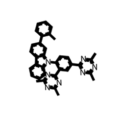 Cc1nc(C)nc(-c2ccc(-n3c4ccccc4c4ccc(-c5ccccc5C)cc43)c(-c3nc(C)nc(C)n3)c2)n1